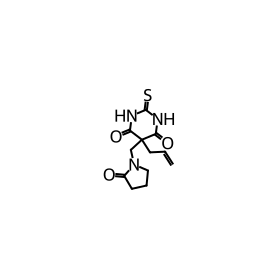 C=CCC1(CN2CCCC2=O)C(=O)NC(=S)NC1=O